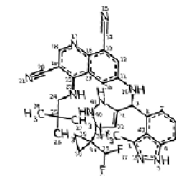 Cc1n[nH]c2cccc([C@H](Nc3cc(C#N)c4ncc(C#N)c(NCC(C)(C)C)c4c3)C3=CN(C4(C(F)F)CC4)NN3)c12